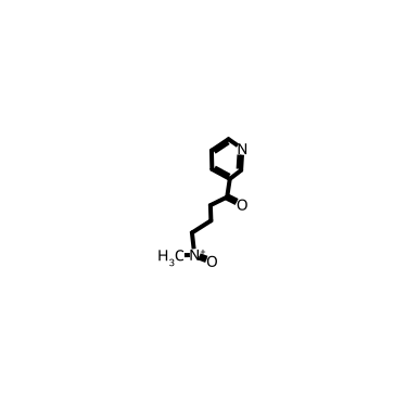 C[N+](=O)CCCC(=O)c1cccnc1